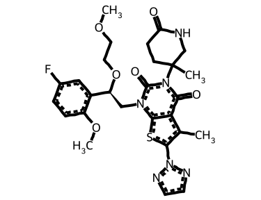 COCCO[C@@H](Cn1c(=O)n(C2(C)CCC(=O)NC2)c(=O)c2c(C)c(-n3nccn3)sc21)c1cc(F)ccc1OC